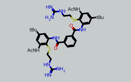 CC(=O)Nc1cc(C(C)(C)C)cc(NC(=O)c2cccc(C(=O)Nc3cc(C(C)(C)C)cc(NC(C)=O)c3SCCNC(=N)N)c2)c1SCCNC(=N)N